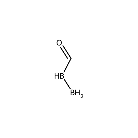 BBC=O